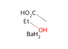 CC(=O)O.CCO.[BaH2]